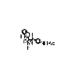 CC(=O)Nc1ccc(NC2=NNC(=O)C2=C2C=Cc3ccccc3N2)cc1